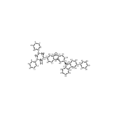 c1ccc(C2=NC(c3ccccc3)NC(c3ccc4c(c3)oc3ccc(-n5c6ccccc6c6cc(-c7ccccc7)ccc65)cc34)=N2)cc1